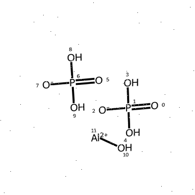 O=P([O-])(O)O.O=P([O-])(O)O.[OH][Al+2]